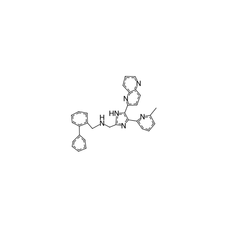 Cc1cccc(-c2nc(CNCc3ccccc3-c3ccccc3)[nH]c2-c2ccc3ncccc3n2)n1